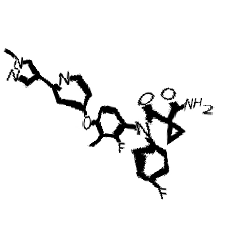 Cc1c(Oc2ccnc(-c3cnn(C)c3)c2)ccc(N(C(=O)C2(C(N)=O)CC2)c2ccc(F)cc2)c1F